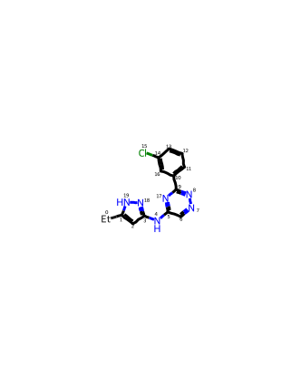 CCc1cc(Nc2cnnc(-c3cccc(Cl)c3)n2)n[nH]1